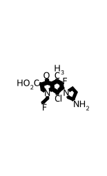 Cc1c(F)c(N2CCC(N)C2)c(Cl)c2c1c(=O)c(C(=O)O)cn2CCF